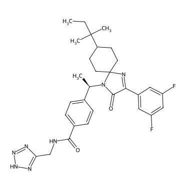 CCC(C)(C)C1CCC2(CC1)N=C(c1cc(F)cc(F)c1)C(=O)N2[C@H](C)c1ccc(C(=O)NCc2nn[nH]n2)cc1